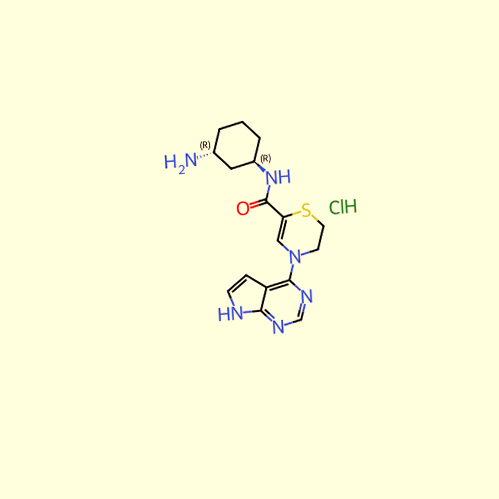 Cl.N[C@@H]1CCC[C@@H](NC(=O)C2=CN(c3ncnc4[nH]ccc34)CCS2)C1